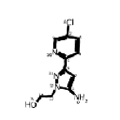 Nc1cc(-c2ccc(Cl)cn2)nn1CCO